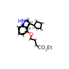 CCOC(=O)CCCOc1cccc2[nH]cc(C3CCCC3)c12